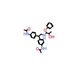 CC(=O)Nc1ccc(C(CNC(Oc2ccccc2)C(C)O)c2ccc(NC(C)=O)cc2)cc1